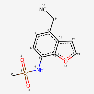 CS(=O)(=O)Nc1ccc(CC#N)c2ccoc12